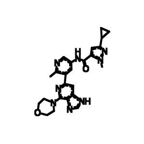 Cc1ncc(NC(=O)c2cc(C3CC3)nn2C)cc1-c1cc2[nH]cnc2c(N2CCOCC2)n1